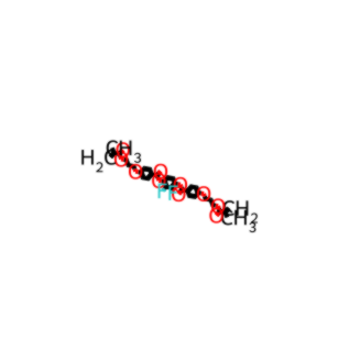 C=C(C)C(=O)OCCCOc1ccc(C(=O)Oc2ccc(OC(=O)c3ccc(OCCCOC(=O)C(=C)C)cc3)c(F)c2F)cc1